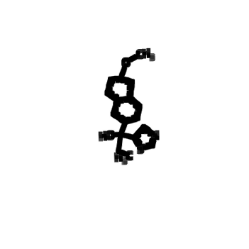 CCC(O)(c1ccc2cc(OC)ccc2c1)c1cncs1